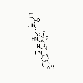 O=C(NCCCNc1nc(Nc2ccc3c(c2)CCNC3)ncc1C(F)(F)F)C1CCC1